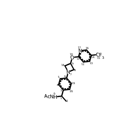 CC(=O)NC(C)c1ccc(N2CC(Oc3ccc(C(F)(F)F)cn3)C2)cc1